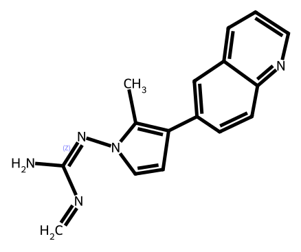 C=N/C(N)=N\n1ccc(-c2ccc3ncccc3c2)c1C